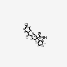 O=C(c1ccc(Cl)cc1)N1CCC2(CC1)C(=O)Nc1ccccc12